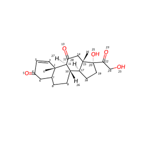 C[C@]12C=CC(=O)CC1CC[C@@H]1[C@@H]2C(=O)C[C@@]2(C)[C@H]1CC[C@]2(O)C(=O)CO